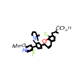 COc1cc(-c2ccc(C3CCc4ccc(CC(C)C(=O)O)c(F)c4O3)cc2CN2CCCC2(C)C)c(F)cn1